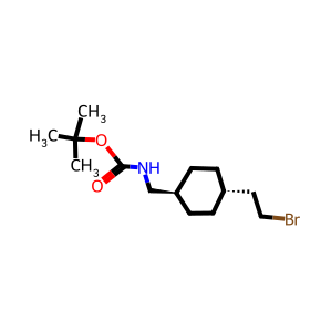 CC(C)(C)OC(=O)NC[C@H]1CC[C@H](CCBr)CC1